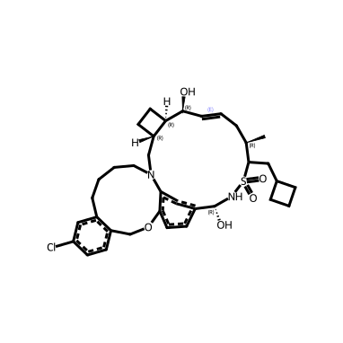 C[C@@H]1C/C=C/[C@H](O)[C@@H]2CC[C@H]2CN2CCCCc3cc(Cl)ccc3COc3ccc(cc32)[C@@H](O)NS(=O)(=O)C1CC1CCC1